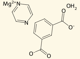 O.O=C([O-])c1cccc(C(=O)[O-])c1.[Mg+2].c1cnccn1